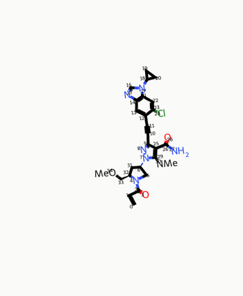 C=CC(=O)N1C[C@@H](n2nc(C#Cc3cc4ncn(C5CC5)c4cc3Cl)c(C(N)=O)c2NC)C[C@@H]1COC